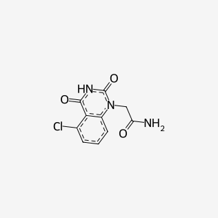 NC(=O)Cn1c(=O)[nH]c(=O)c2c(Cl)cccc21